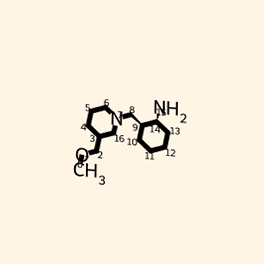 COCC1CCCN(C[C@@H]2CCCC[C@H]2N)C1